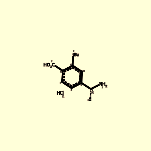 C[C@@H](N)c1ccc(C(=O)O)c(C(C)(C)C)c1.Cl